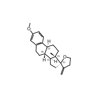 C=C1CCO[C@@]12CC[C@H]1[C@@H]3CCc4cc(OC)ccc4[C@H]3CC[C@@]12C